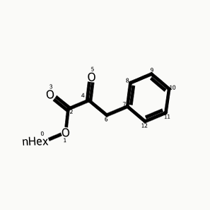 CCCCCCOC(=O)C(=O)Cc1ccccc1